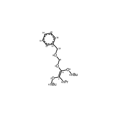 CCCCO/C(CCC)=C(/OCCCC)OCOCc1ccccc1